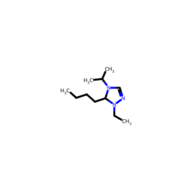 CCCCC1N(CC)N=CN1C(C)C